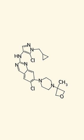 CC1(N2CCN(c3cc4nc(Nc5cnn(CC6CC6)c5Cl)ncc4cc3Cl)CC2)COC1